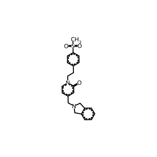 CS(=O)(=O)c1ccc(CCn2ccc(CN3Cc4ccccc4C3)cc2=O)cc1